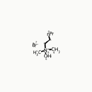 CCCCC[N+](C)(C)O.[Br-]